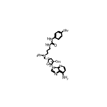 CC(C)N(CCCNC(=O)Nc1ccc(C(C)(C)C)cc1)C[C@@H]1C[C@@H](O)[C@H](n2cnc3c(N)ccnc32)O1